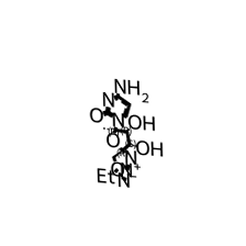 CCOC[C@@]1(N=[N+]=[N-])O[C@@](C)(n2ccc(N)nc2=O)[C@H](O)[C@@H]1O